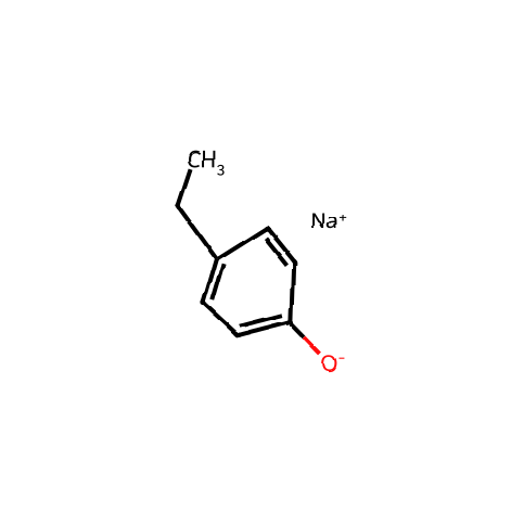 CCc1ccc([O-])cc1.[Na+]